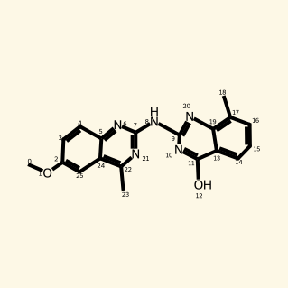 COc1ccc2nc(Nc3nc(O)c4cccc(C)c4n3)nc(C)c2c1